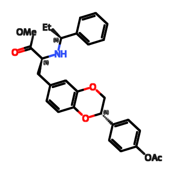 CC[C@H](N[C@@H](Cc1ccc2c(c1)OC[C@H](c1ccc(OC(C)=O)cc1)O2)C(=O)OC)c1ccccc1